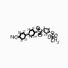 CS(=O)(=O)O[C@H]1CCN(S(=O)(=O)c2ccc(-c3ccc(C#N)cc3)nc2)C1